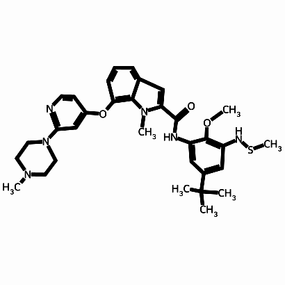 COc1c(NSC)cc(C(C)(C)C)cc1NC(=O)c1cc2cccc(Oc3ccnc(N4CCN(C)CC4)c3)c2n1C